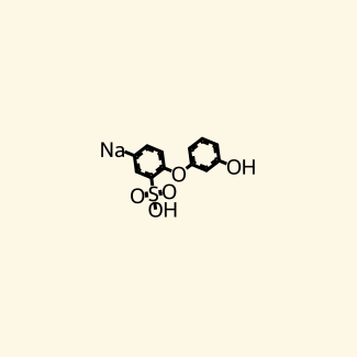 O=S(=O)(O)c1c[c]([Na])ccc1Oc1cccc(O)c1